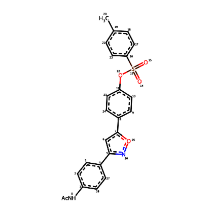 CC(=O)Nc1ccc(-c2cc(-c3ccc(OS(=O)(=O)c4ccc(C)cc4)cc3)on2)cc1